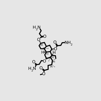 COC(=O)CC[C@@H](C)[C@H]1CC[C@H]2C3[C@H](OC(=O)CCN)CC4C[C@H](OC(=O)CCN)CC[C@]4(C)[C@H]3C[C@H](OCCC(N)=O)[C@]12C